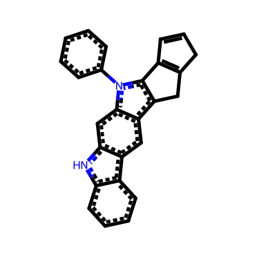 C1=CC2=C(C1)Cc1c2n(-c2ccccc2)c2cc3[nH]c4ccccc4c3cc12